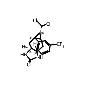 O=C1N[C@H]2CC3[C@@H](C(Cl)Cl)[C@@]3(c3cccc(C(F)(F)F)c3)C[C@@H]2N1